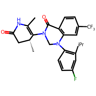 CC1=C(N2CN(c3ccc(F)cc3C(C)C)c3cc(C(F)(F)F)ccc3C2=O)[C@H](C)CC(=O)N1